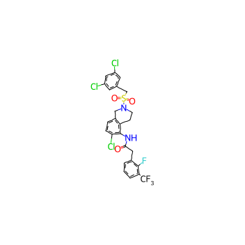 O=C(Cc1cccc(C(F)(F)F)c1F)Nc1c(Cl)ccc2c1CCN(S(=O)(=O)Cc1cc(Cl)cc(Cl)c1)C2